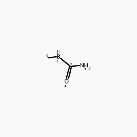 CBC(N)=O